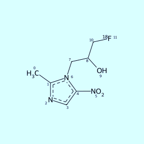 Cc1ncc([N+](=O)[O-])n1CC(O)C[18F]